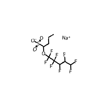 CCCC(OC(F)(F)C(F)(F)C(F)C(F)C(F)F)S(=O)(=O)[O-].[Na+]